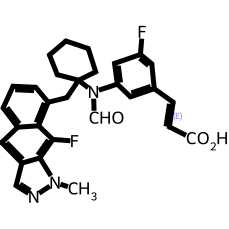 Cn1ncc2cc3cccc(CC4(N(C=O)c5cc(F)cc(/C=C/C(=O)O)c5)CCCCC4)c3c(F)c21